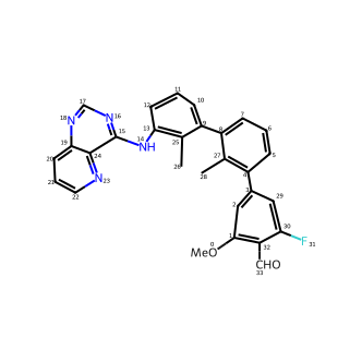 COc1cc(-c2cccc(-c3cccc(Nc4ncnc5cccnc45)c3C)c2C)cc(F)c1C=O